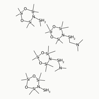 CN(C)C[SiH2]N1[Si](C)(C)O[Si](C)(C)O[Si]1(C)C.CN(C)[SiH2]N1[Si](C)(C)O[Si](C)(C)O[Si]1(C)C.C[SiH2]N1[Si](C)(C)O[Si](C)(C)O[Si]1(C)C.C[Si]1(C)O[Si](C)(C)N([SiH3])[Si](C)(C)O1